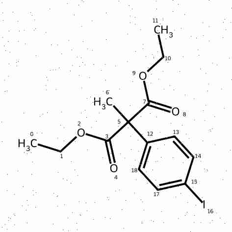 CCOC(=O)C(C)(C(=O)OCC)c1ccc(I)cc1